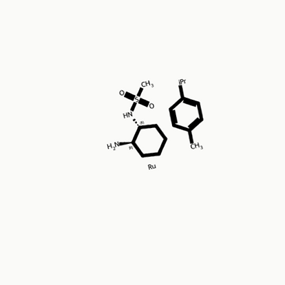 CS(=O)(=O)N[C@@H]1CCCC[C@H]1N.Cc1ccc(C(C)C)cc1.[Ru]